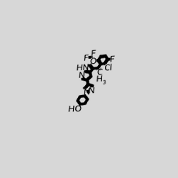 C[C@@H](c1c(OC(F)F)ccc(F)c1Cl)c1c[nH]c2ncc(-c3cnn([C@H]4CC[C@H](O)CC4)c3)cc12